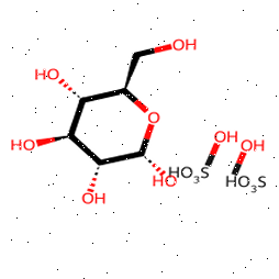 O=S(=O)(O)O.O=S(=O)(O)O.OC[C@H]1O[C@H](O)[C@H](O)[C@@H](O)[C@@H]1O